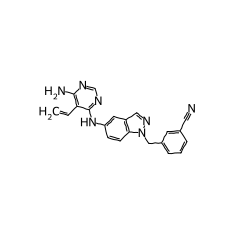 C=Cc1c(N)ncnc1Nc1ccc2c(cnn2Cc2cccc(C#N)c2)c1